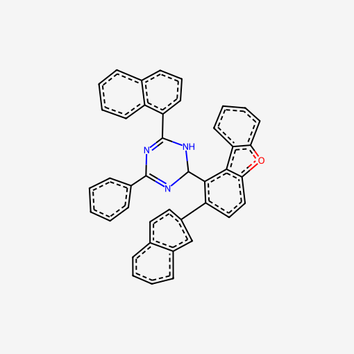 c1ccc(C2=NC(c3c(-c4ccc5ccccc5c4)ccc4oc5ccccc5c34)NC(c3cccc4ccccc34)=N2)cc1